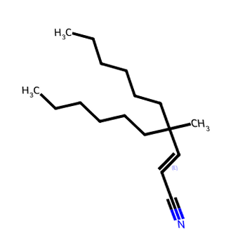 CCCCCCC(C)(/C=C/C#N)CCCCCC